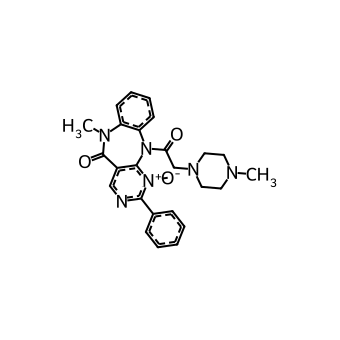 CN1CCN(CC(=O)N2c3ccccc3N(C)C(=O)c3cnc(-c4ccccc4)[n+]([O-])c32)CC1